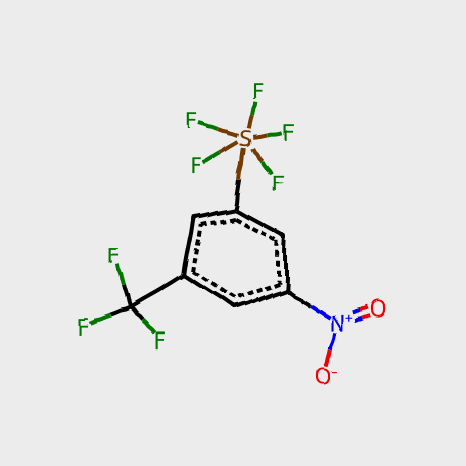 O=[N+]([O-])c1cc(C(F)(F)F)cc(S(F)(F)(F)(F)F)c1